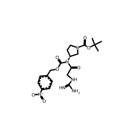 CC(C)(C)OC(=O)N1CC[C@H](N(C(=O)CNC(=N)N)C(=O)OCc2ccc([N+](=O)[O-])cc2)C1